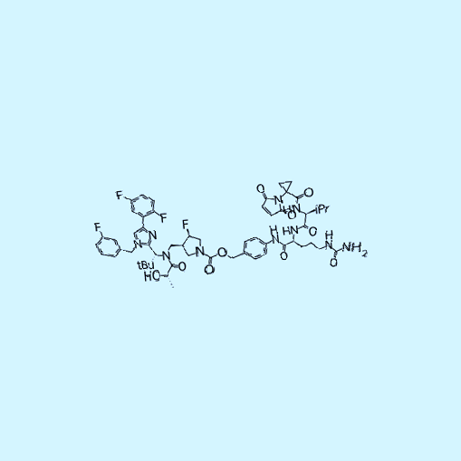 CC(C)[C@H](NC(=O)C1(N2C(=O)C=CC2=O)CC1)C(=O)N[C@@H](CCCNC(N)=O)C(=O)Nc1ccc(COC(=O)N2C[C@@H](CN(C(=O)[C@H](C)O)[C@@H](c3nc(-c4cc(F)ccc4F)cn3Cc3cccc(F)c3)C(C)(C)C)[C@@H](F)C2)cc1